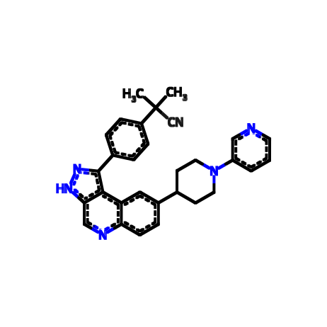 CC(C)(C#N)c1ccc(-c2n[nH]c3cnc4ccc(C5CCN(c6cccnc6)CC5)cc4c23)cc1